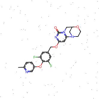 Cc1ccc(Oc2c(F)cc(COc3cc4n(c(=O)n3)CC3CN4CCO3)cc2F)cn1